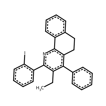 CCc1c(-c2ccccc2I)nc2c(c1-c1ccccc1)CCc1ccccc1-2